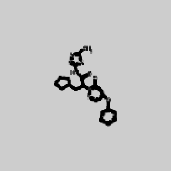 Cc1nsc(NC(=O)C(CC2CCCC2)n2ncc(Oc3ccccc3)cc2=O)n1